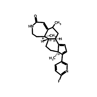 CC1C[C@H]2C3=CC=C(c4ccc(F)nc4)[C@@]3(C)CC[C@@H]2[C@@]2(C)CCNC(=O)C=C12